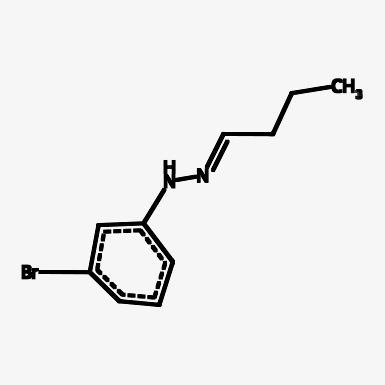 CCCC=NNc1cccc(Br)c1